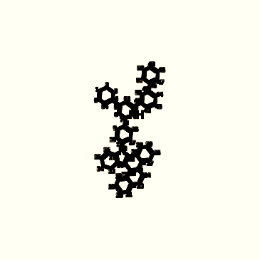 C1=CCCC(C2=CC(c3ccc(-n4c5c(c6c7c8ccccc8ccc7c7ccccc7c64)CCC=C5)cc3)NC(c3cccc(-c4ccccc4)c3)=C2)=C1